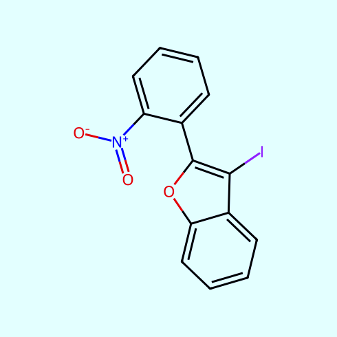 O=[N+]([O-])c1ccccc1-c1oc2ccccc2c1I